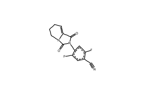 N#Cc1cc(F)c(N2C(=O)C3=CCCCN3C2=O)cc1F